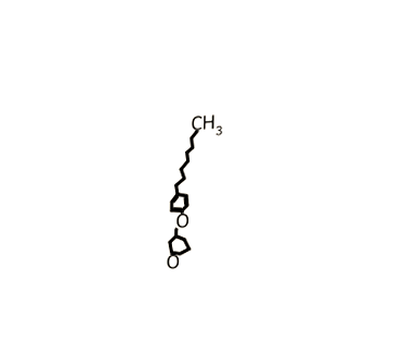 CCCCCCCCCc1ccc(OCC2CCC3OC3C2)cc1